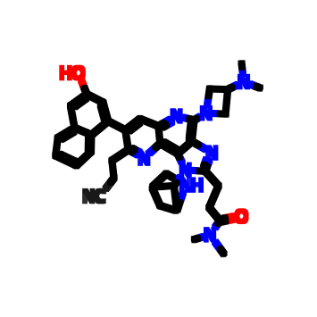 CN(C)C(=O)CCc1nc2c(N3CC(N(C)C)C3)nc3cc(-c4cc(O)cc5ccccc45)c(CCC#N)nc3c2n1C1C2CNC1C2